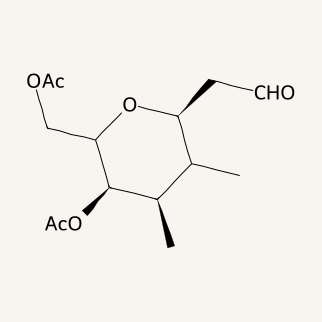 CC(=O)OCC1O[C@@H](CC=O)C(C)[C@@H](C)[C@H]1OC(C)=O